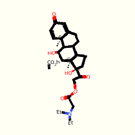 CC(=O)O.CCN(CC)CC(=O)OCC(=O)[C@@]1(O)CCC2C3CCC4=CC(=O)C=C[C@]4(C)C3C(O)C[C@@]21C